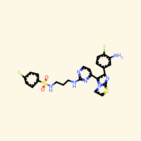 Nc1cc(-c2nc3sccn3c2-c2ccnc(NCCCNS(=O)(=O)c3ccc(F)cc3)n2)ccc1F